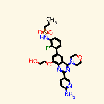 CCCS(=O)(=O)Nc1cccc(-c2cc(OCCO)c3nc(-c4ccc(N)nc4)nc(N4CCOCC4)c3c2)c1F